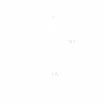 CCNCCc1c[nH]c2cc(O)c(OC)cc12